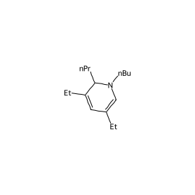 CCCCN1C=C(CC)C=C(CC)C1CCC